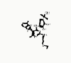 CCSCCNc1nc(C)c(-c2nc3c(C)nccc3s2)c(N[C@@H]2C[C@H](C(C)(C)O)[C@@H](O)[C@H]2O)n1